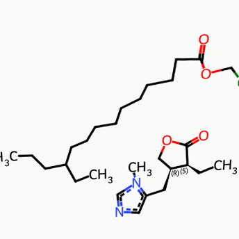 CCCC(CC)CCCCCCCCCC(=O)OCCl.CC[C@@H]1C(=O)OC[C@@H]1Cc1cncn1C